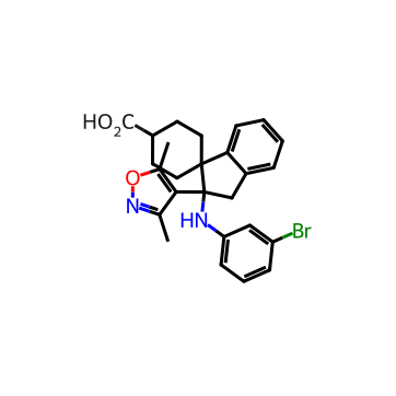 Cc1noc(C)c1C1(Nc2cccc(Br)c2)Cc2ccccc2C12CCC(C(=O)O)CC2